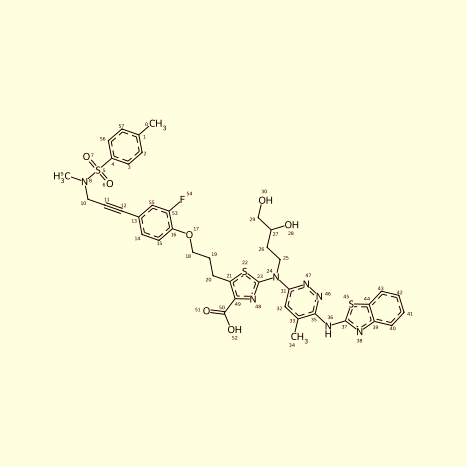 Cc1ccc(S(=O)(=O)N(C)CC#Cc2ccc(OCCCc3sc(N(CCC(O)CO)c4cc(C)c(Nc5nc6ccccc6s5)nn4)nc3C(=O)O)c(F)c2)cc1